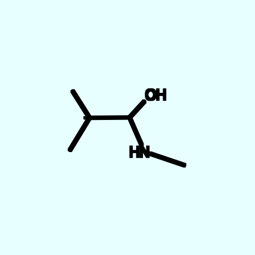 CNC(O)[C](C)C